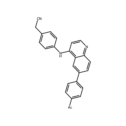 CC(=O)c1ccc(-c2ccc3nccc(Nc4ccc(CC#N)cc4)c3c2)cc1